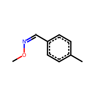 CO/N=[C]\c1ccc(C)cc1